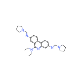 CCN(CC)c1nc2cc(/N=C/N3CCCC3)ccc2c2ccc(/N=C/N3CCCC3)cc12